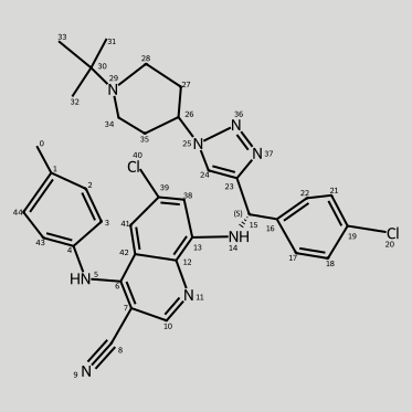 Cc1ccc(Nc2c(C#N)cnc3c(N[C@@H](c4ccc(Cl)cc4)c4cn(C5CCN(C(C)(C)C)CC5)nn4)cc(Cl)cc23)cc1